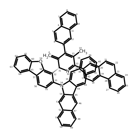 C=C1C(c2ccc3ccccc3c2)=C(C)C(c2ccc3c(ccc4ccccc43)c2)=N[C@@H]1c1c(-n2c3cc4ccccc4cc3c3cc4ccccc4cc32)ccc2c1oc1ccccc12